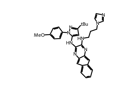 COc1ccc(-n2nc(C(C)(C)C)cc2Nc2nc3cc4ccccc4cc3nc2NCCCn2ccnc2)cc1